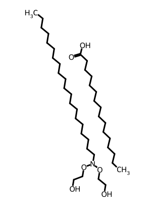 CCCCCCCCCCCCCCCC(=O)O.CCCCCCCCCCCCCCCCCCCCN(OCCO)OCCO